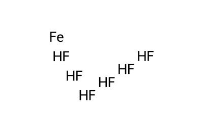 F.F.F.F.F.F.[Fe]